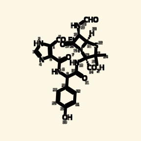 CCOC(=O)c1[nH]cnc1C(=O)NC(C(=O)N[C@@]1(C(=O)O)N2C(=O)[C@@H](NC=O)[C@H]2SC1(C)C)c1ccc(O)cc1